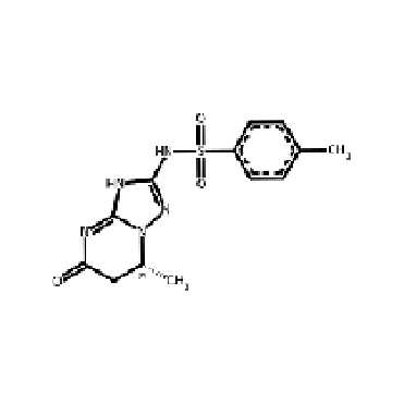 Cc1ccc(S(=O)(=O)NC2=NN3C(=NC(=O)C[C@H]3C)N2)cc1